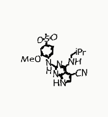 COc1cc(S(C)(=O)=O)ccc1Nc1nc(NCC(C)C)c2c(C#N)c[nH]c2n1